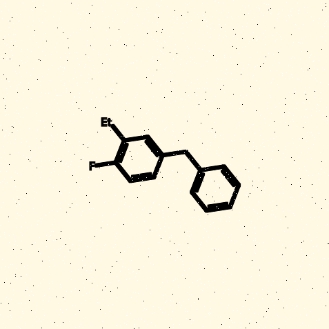 CCc1cc(Cc2ccccc2)ccc1F